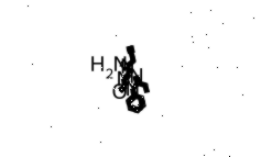 C#CCN(N)c1nc(CC)n(-c2ccccc2)c(=O)n1